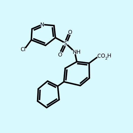 O=C(O)c1ccc(-c2ccccc2)cc1NS(=O)(=O)c1cncc(Cl)c1